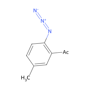 CC(=O)c1cc(C)ccc1N=[N+]=[N-]